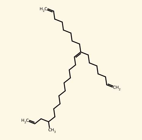 C=CCCCCCCC(=CCCCCCCCCCC(C)CC=C)CCCCCC=C